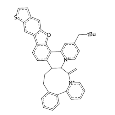 C=C1C2C(CCc3ccccc3-c3cccc[n+]31)c1ccc3c(oc4cc5ccsc5cc43)c1-c1cc(CC(C)(C)C)cc[n+]12